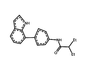 CCC(CC)C(=O)Nc1ccc(-c2cccc3cc[nH]c23)cc1